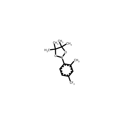 Cc1cc(C(F)(F)F)ccc1B1OC(C)(C)C(C)(C)O1